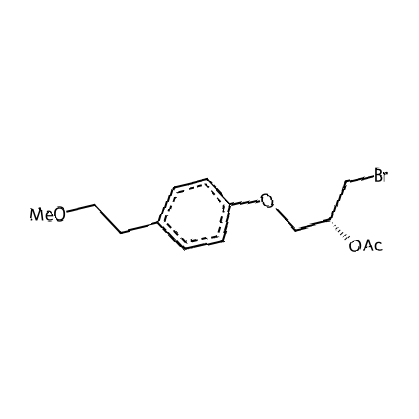 COCCc1ccc(OC[C@H](CBr)OC(C)=O)cc1